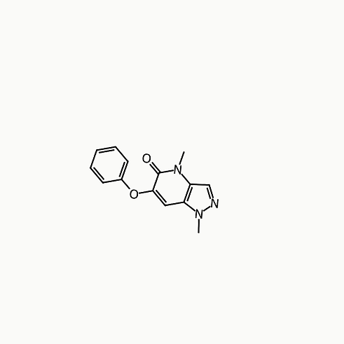 Cn1ncc2c1cc(Oc1ccccc1)c(=O)n2C